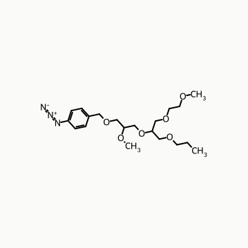 CCCOCC(COCCOC)OCC(COCc1ccc(N=[N+]=[N-])cc1)OC